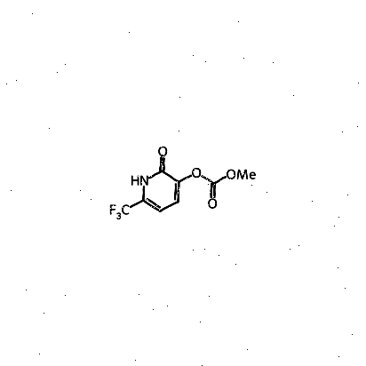 COC(=O)Oc1ccc(C(F)(F)F)[nH]c1=O